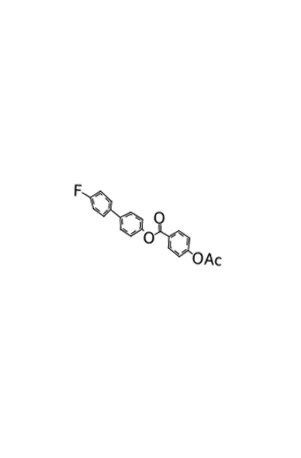 CC(=O)Oc1ccc(C(=O)Oc2ccc(-c3ccc(F)cc3)cc2)cc1